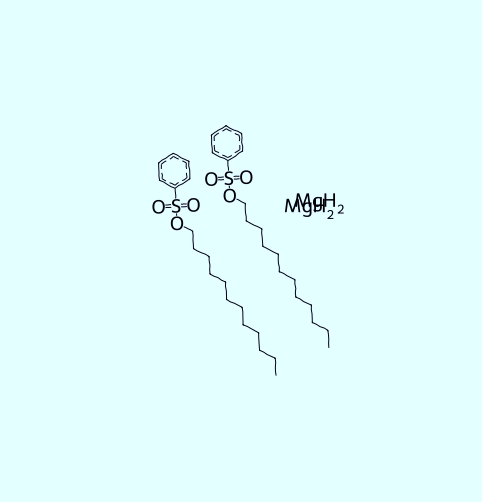 CCCCCCCCCCCCOS(=O)(=O)c1ccccc1.CCCCCCCCCCCCOS(=O)(=O)c1ccccc1.[MgH2].[MgH2]